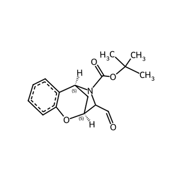 CC(C)(C)OC(=O)N1C(C=O)[C@@H]2C[C@H]1c1ccccc1O2